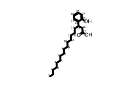 CCCCCCCCCCCCCCCC(CC(=O)O)c1ccccc1O